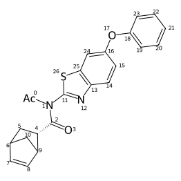 CC(=O)N(C(=O)[C@H]1CC2C=CC1C2)c1nc2ccc(Oc3ccccc3)cc2s1